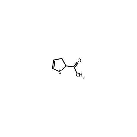 CC(=O)C1CC=CS1